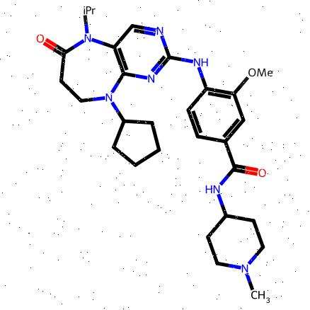 COc1cc(C(=O)NC2CCN(C)CC2)ccc1Nc1ncc2c(n1)N(C1CCCC1)CCC(=O)N2C(C)C